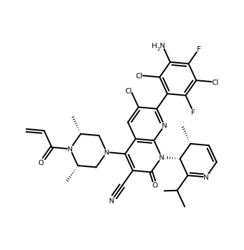 C=CC(=O)N1[C@H](C)CN(c2c(C#N)c(=O)n([C@H]3C(C(C)C)=NC=C[C@H]3C)c3nc(-c4c(F)c(Cl)c(F)c(N)c4Cl)c(Cl)cc23)C[C@@H]1C